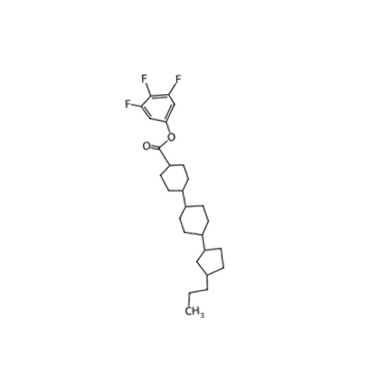 CCCC1CCC(C2CCC(C3CCC(C(=O)Oc4cc(F)c(F)c(F)c4)CC3)CC2)C1